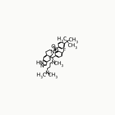 CN(C)CCCN(C)C(c1ccc(F)cc1)[C@@]12Cc3cn[nH]c3C=C1CCN(S(=O)(=O)c1ccc(C(C)(C)C)cc1)C2